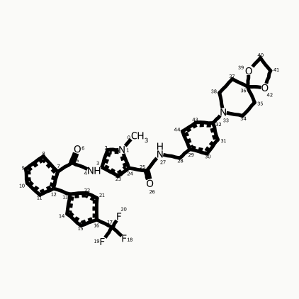 Cn1cc(NC(=O)c2ccccc2-c2ccc(C(F)(F)F)cc2)cc1C(=O)NCc1ccc(N2CCC3(CC2)OCCO3)cc1